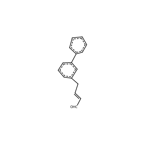 O=CC=CCc1cccc(-c2ccccc2)c1